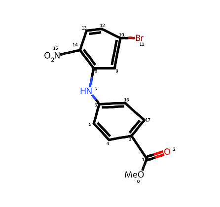 COC(=O)c1ccc(Nc2cc(Br)ccc2[N+](=O)[O-])cc1